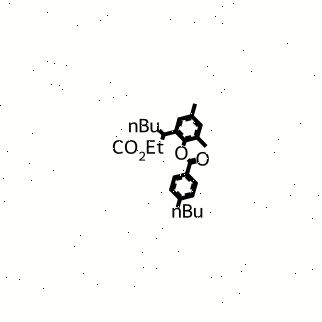 CCCCc1ccc(C(=O)Oc2c(C)cc(C)cc2C(CCCC)C(=O)OCC)cc1